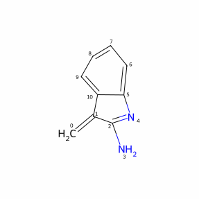 C=C1C(N)=Nc2ccccc21